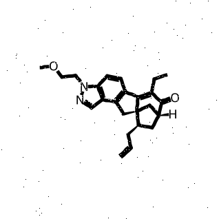 C=CC[C@@H]1C[C@@H]2C[C@]13Cc1c(ccc4c1cnn4CCOC)C3=C(CC)C2=O